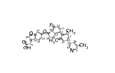 Cc1cncc(-c2cc(C)c(-c3ccc(F)c4c3CC[C@H]4Oc3ccc4c(c3)OCC4CC(=O)O)c(C)c2)c1